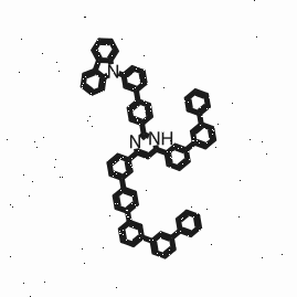 C1=C(c2cccc(-c3ccc(-c4cccc(-c5cccc(-c6ccccc6)c5)c4)cc3)c2)N=C(c2ccc(-c3cccc(-n4c5ccccc5c5ccccc54)c3)cc2)NC1c1cccc(-c2cccc(-c3ccccc3)c2)c1